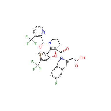 CCC[C@H]1N(C(=O)c2ncccc2C(F)(F)F)CCC[C@]1(Oc1csc(C(F)(F)F)c1)C(=O)N1Cc2ccc(F)cc2C[C@@H]1CC(=O)O